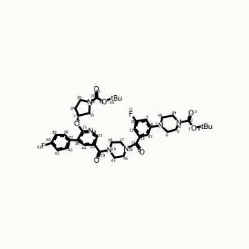 CC(C)(C)OC(=O)N1CCN(c2cc(F)cc(C(=O)N3CCN(C(=O)c4cnc(O[C@H]5CCN(C(=O)OC(C)(C)C)C5)c(-c5ccc(F)cc5)c4)CC3)c2)CC1